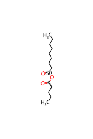 CCCCCCC[CH2][Sn](=[O])[O]C(=O)CCCC